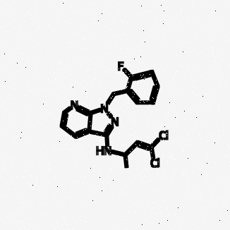 CC(C=C(Cl)Cl)Nc1nn(Cc2ccccc2F)c2ncccc12